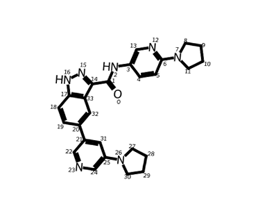 O=C(Nc1ccc(N2CCCC2)nc1)c1n[nH]c2ccc(-c3cncc(N4CCCC4)c3)cc12